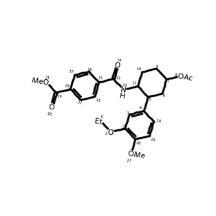 CCOc1cc(C2CC(OC(C)=O)CCC2NC(=O)c2ccc(C(=O)OC)cc2)ccc1OC